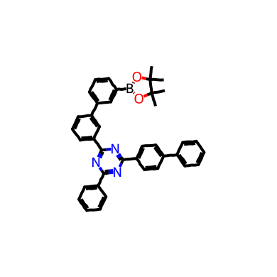 CC1(C)OB(c2cccc(-c3cccc(-c4nc(-c5ccccc5)nc(-c5ccc(-c6ccccc6)cc5)n4)c3)c2)OC1(C)C